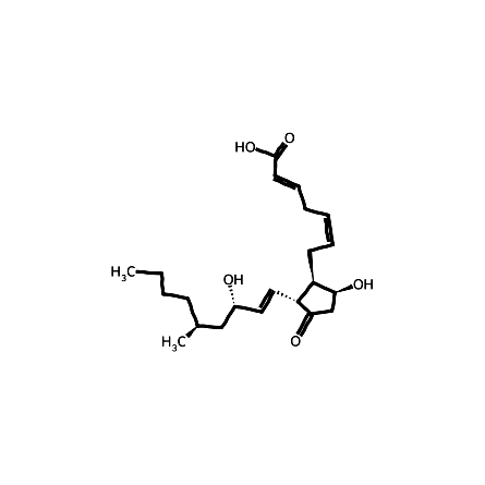 CCCC[C@H](C)C[C@H](O)/C=C/[C@H]1C(=O)C[C@H](O)[C@@H]1C/C=C\C/C=C/C(=O)O